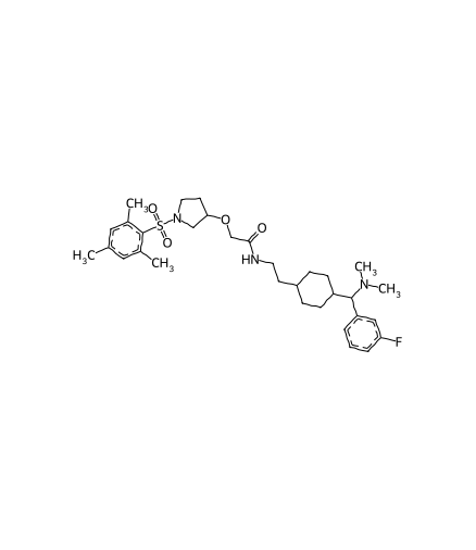 Cc1cc(C)c(S(=O)(=O)N2CCC(OCC(=O)NCCC3CCC(C(c4cccc(F)c4)N(C)C)CC3)C2)c(C)c1